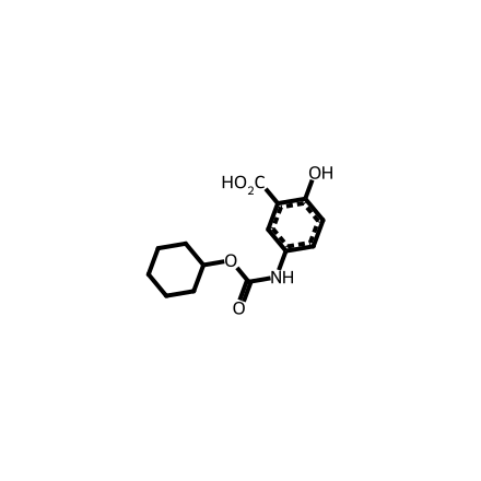 O=C(Nc1ccc(O)c(C(=O)O)c1)OC1CCCCC1